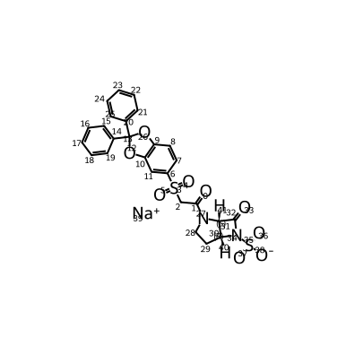 O=C(CS(=O)(=O)c1ccc2c(c1)OC(c1ccccc1)(c1ccccc1)O2)N1CC[C@@H]2[C@H]1C(=O)N2S(=O)(=O)[O-].[Na+]